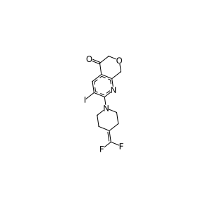 O=C1COCc2nc(N3CCC(=C(F)F)CC3)c(I)cc21